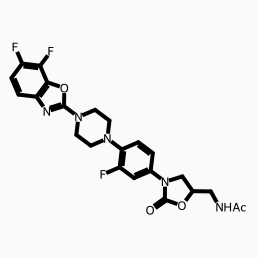 CC(=O)NCC1CN(c2ccc(N3CCN(c4nc5ccc(F)c(F)c5o4)CC3)c(F)c2)C(=O)O1